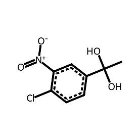 CC(O)(O)c1ccc(Cl)c([N+](=O)[O-])c1